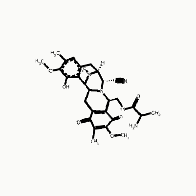 COC1=C(C)C(=O)C2=C(C1=O)[C@H](CNC(=O)C(C)N)N1C(C2)C2c3c(cc(C)c(OC)c3O)C[C@@H]([C@@H]1C#N)N2C